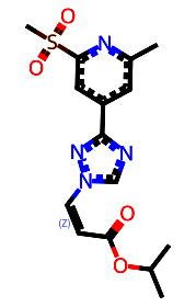 Cc1cc(-c2ncn(/C=C\C(=O)OC(C)C)n2)cc(S(C)(=O)=O)n1